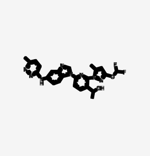 Cc1ccc(Nc2ccc3c(c2)ncn3-c2ccc(C(C)O)c(-n3nc(OC(F)F)cc3C)n2)nn1